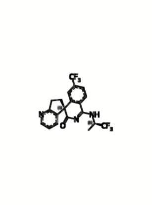 C[C@@H](NC1=NC(=O)[C@@]2(CCc3ncccc32)c2cc(C(F)(F)F)ccc21)C(F)(F)F